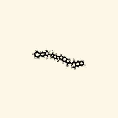 Fc1c(-c2sc3cc4sc5c6cc7c(F)c(-c8ncc9cc%10ccccc%10cc9c8F)sc7cc6sc5c4cc3c2F)ncc2cc3ccccc3cc12